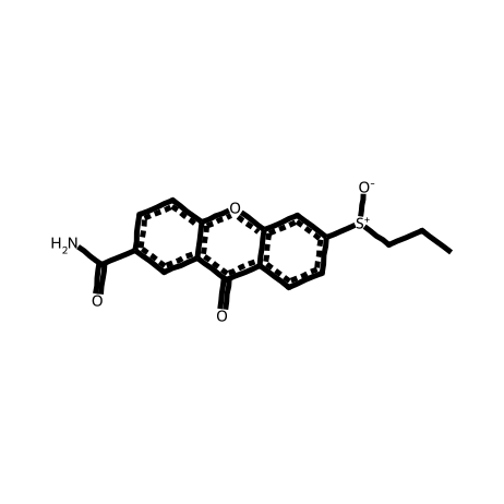 CCC[S+]([O-])c1ccc2c(=O)c3cc(C(N)=O)ccc3oc2c1